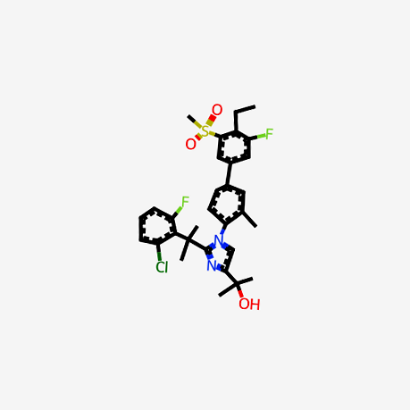 CCc1c(F)cc(-c2ccc(-n3cc(C(C)(C)O)nc3C(C)(C)c3c(F)cccc3Cl)c(C)c2)cc1S(C)(=O)=O